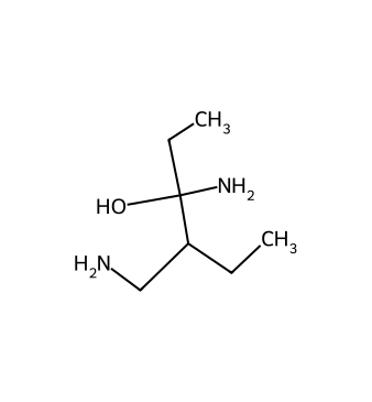 CCC(CN)C(N)(O)CC